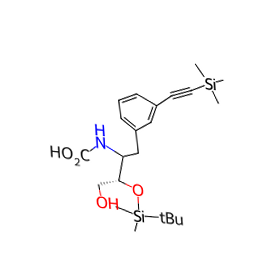 CC(C)(C)[Si](C)(C)O[C@H](CO)C(Cc1cccc(C#C[Si](C)(C)C)c1)NC(=O)O